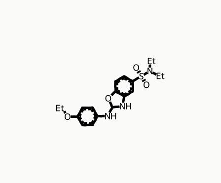 CCOc1ccc(NC2Nc3cc(S(=O)(=O)N(CC)CC)ccc3O2)cc1